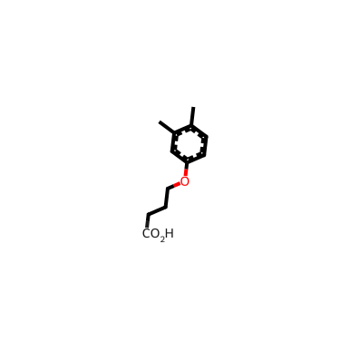 Cc1ccc(OCCCC(=O)O)cc1C